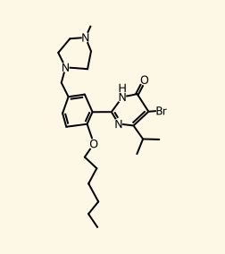 CCCCCCOc1ccc(CN2CCN(C)CC2)cc1-c1nc(C(C)C)c(Br)c(=O)[nH]1